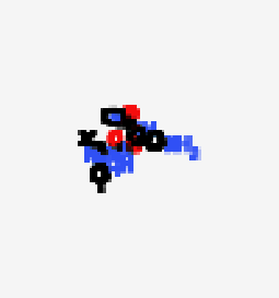 Cc1ccc(-n2nc(C(C)(C)C)cc2NC(=O)Nc2cccc(CC3CC4CCC(C3)N4C(=O)CNC(=O)c3ccc(N)cc3)c2)cc1